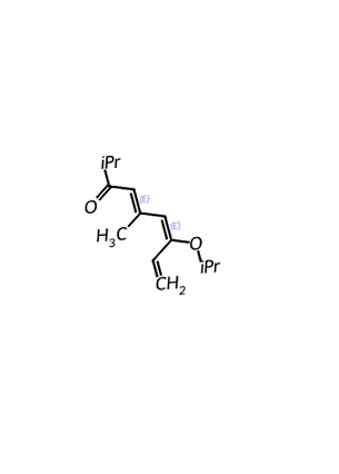 C=C/C(=C\C(C)=C\C(=O)C(C)C)OC(C)C